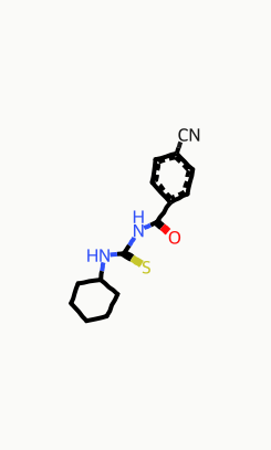 N#Cc1ccc(C(=O)NC(=S)NC2CCCCC2)cc1